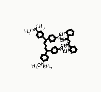 CN(C)c1ccc(C(=CCC=C(c2ccc(N(C)C)cc2)c2ccc(N(C)C)cc2)c2ccc(N(C)C)cc2)cc1.O=C(CC(=O)c1ccccc1)c1ccccc1